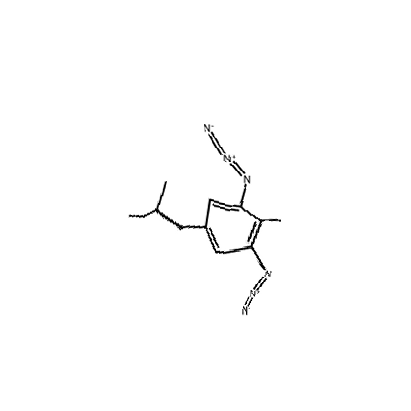 Cc1c(N=[N+]=[N-])cc(CC(C)C)cc1N=[N+]=[N-]